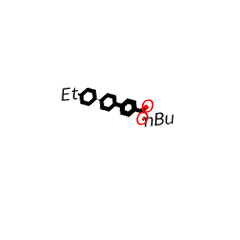 CCCCOC(=O)c1ccc(C2CCC([C@H]3CC[C@H](CC)CC3)CC2)cc1